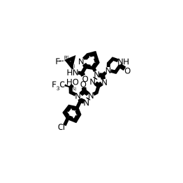 O=C1CN(c2nc(Cn3nc(-c4ccc(Cl)cc4)n(C[C@H](O)C(F)(F)F)c3=O)nn2-c2cccnc2C(=O)N[C@H]2C[C@H]2F)CCN1